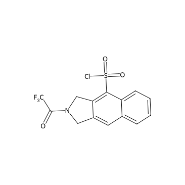 O=C(N1Cc2cc3ccccc3c(S(=O)(=O)Cl)c2C1)C(F)(F)F